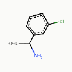 NC([C]=O)c1cccc(Cl)c1